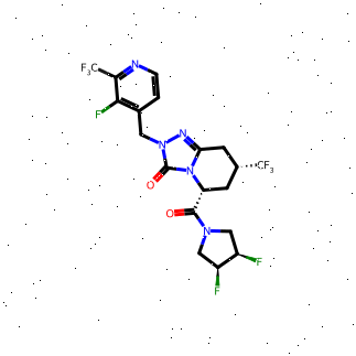 O=C([C@H]1C[C@@H](C(F)(F)F)Cc2nn(Cc3ccnc(C(F)(F)F)c3F)c(=O)n21)N1C[C@@H](F)[C@@H](F)C1